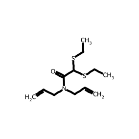 C=CCN(CC=C)C(=O)C(SCC)SCC